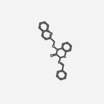 O=C1C(N=Cc2ccccc2)Sc2ccccc2N1OCc1ccc2ccccc2n1